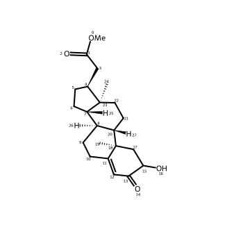 COC(=O)C[C@@H]1CC[C@H]2[C@@H]3CCC4=CC(=O)C(O)C[C@]4(C)[C@H]3CC[C@]12C